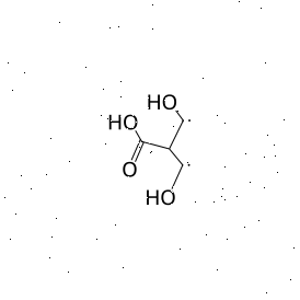 O=C(O)C([CH]O)[CH]O